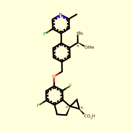 CO[C@@H](c1cc(COc2cc(F)c3c(c2F)[C@]2(CC3)C[C@H]2C(=O)O)ccc1-c1cc(C)ncc1F)C(C)(C)C